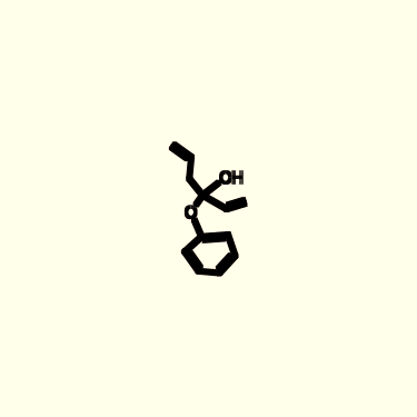 C=CCC(O)(C=C)Oc1ccccc1